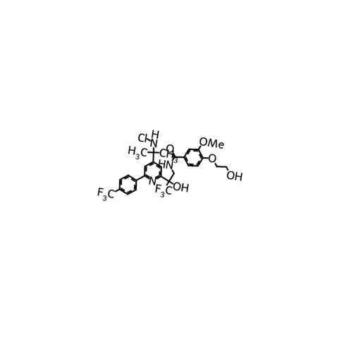 COc1cc(C(=O)NCC(O)(c2cc(C(C)(C)NCl)cc(-c3ccc(C(F)(F)F)cc3)n2)C(F)(F)F)ccc1OCCO